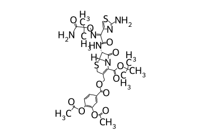 CC(=O)Oc1ccc(C(=O)OCC2=C(C(=O)OC(C)(C)C)N3C(=O)[C@@H](NC(=O)C(=NOC(C)(C)C(N)=O)c4csc(N)n4)[C@H]3SC2)cc1OC(C)=O